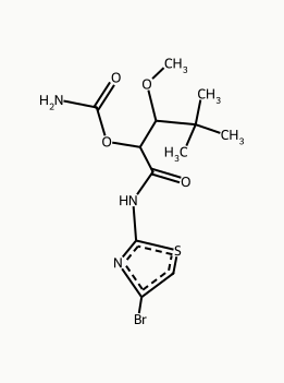 COC(C(OC(N)=O)C(=O)Nc1nc(Br)cs1)C(C)(C)C